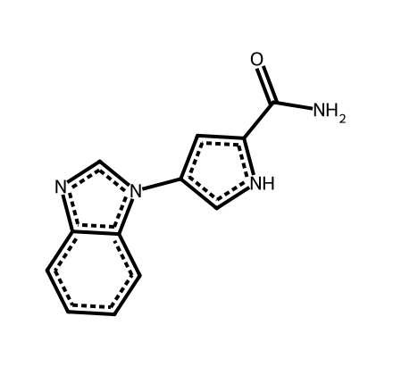 NC(=O)c1cc(-n2cnc3ccccc32)c[nH]1